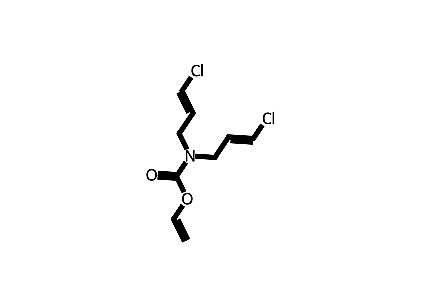 C=COC(=O)N(CC=CCl)CC=CCl